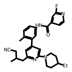 CCC1CCN(c2cc(-c3cc(NC(=O)c4ccnc(F)c4)ccc3C)cc(CC(C)CC#N)n2)CC1